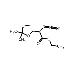 CCOC(=O)[C@H](N=[N+]=[N-])[C@H]1COC(C)(C)O1